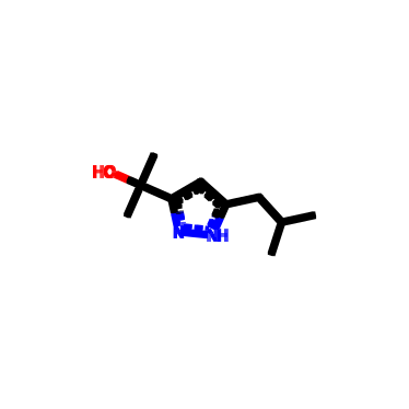 CC(C)Cc1cc(C(C)(C)O)n[nH]1